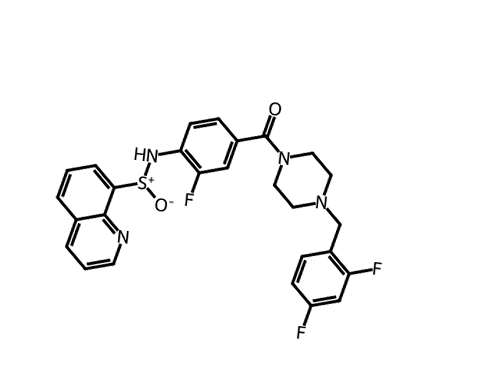 O=C(c1ccc(N[S+]([O-])c2cccc3cccnc23)c(F)c1)N1CCN(Cc2ccc(F)cc2F)CC1